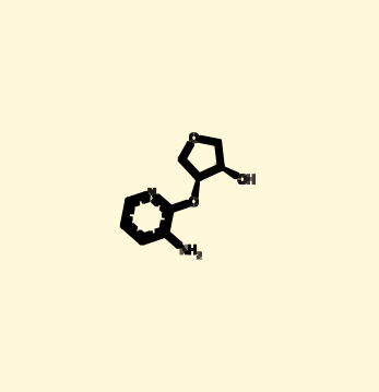 Nc1cccnc1O[C@H]1COC[C@H]1O